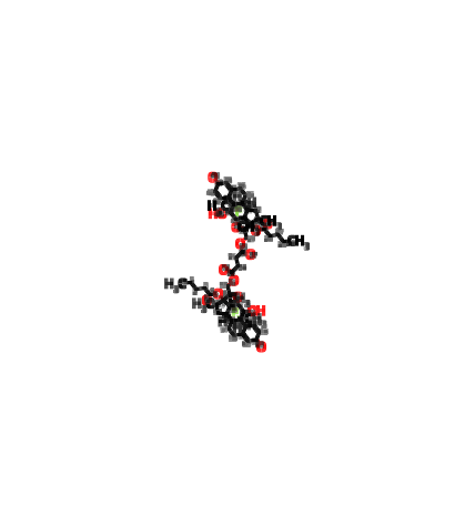 CCCCC(=O)O[C@]1(C(=O)COC(=O)CCC(=O)OCC(=O)[C@@]2(OC(=O)CCCC)[C@@H](C)C[C@H]3[C@@H]4CCC5=CC(=O)C=C[C@]5(C)[C@@]4(F)[C@@H](O)C[C@@]32C)[C@@H](C)C[C@H]2[C@@H]3CCC4=CC(=O)C=C[C@]4(C)[C@@]3(F)[C@@H](O)C[C@@]21C